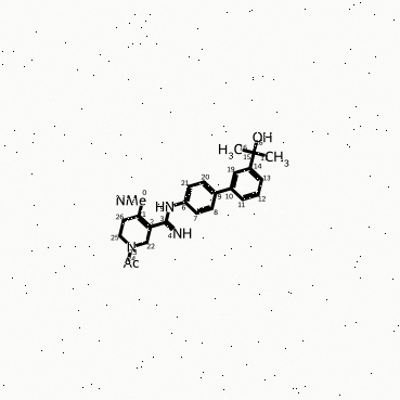 CNC1=C(C(=N)Nc2ccc(-c3cccc(C(C)(C)O)c3)cc2)CN(C(C)=O)CC1